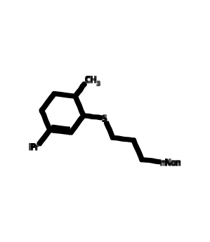 CCCCCCCCCCCCSC1C=C(C(C)C)CCC1C